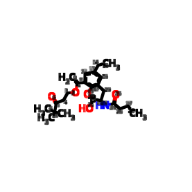 C=C(OCCC(=O)C(C)(C)C)c1cc(CC)cc2c1OB(O)C(NC(=O)CCC)C2